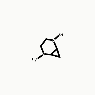 CN1CCN(S)C2CC21